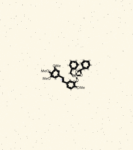 COc1ccc(/C=C/c2cc(OC)c(OC)c(OC)c2)cc1O[PH]1(OCc2ccccc2)OC(c2ccccc2)O1